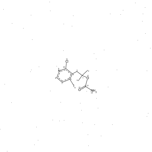 CC(C)(Cc1c(I)ccnc1Cl)OC(N)=O